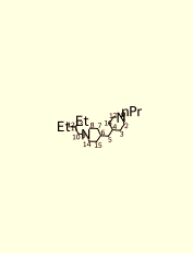 CCCN1CCC(CC2CCN(CC(CC)CC)CC2)CC1